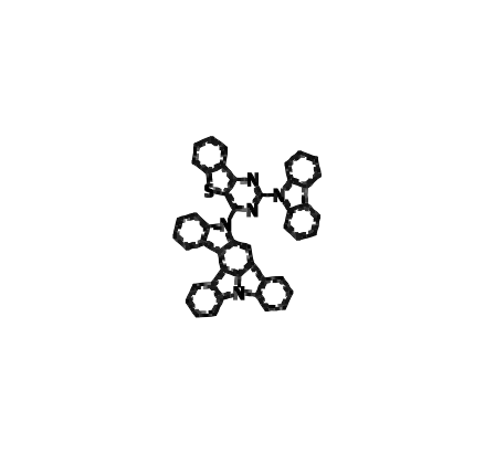 c1ccc2c(c1)sc1c(-n3c4ccccc4c4c5c6ccccc6n6c7ccccc7c(cc43)c56)nc(-n3c4ccccc4c4ccccc43)nc12